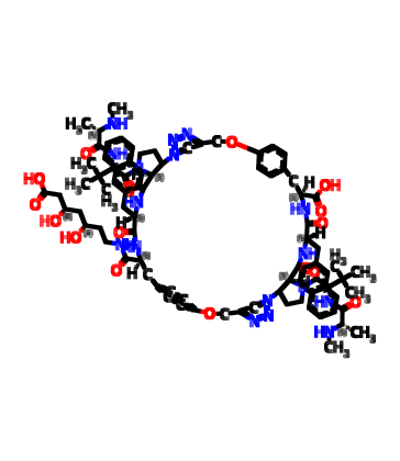 CN[C@@H](C)C(=O)N[C@H](C(=O)N1CCC2[C@H]1C(=O)N[C@@H](Cc1ccc3ccccc3c1)C(=O)N[C@H](C(=O)O)Cc1ccc(cc1)OCc1cn(nn1)C1CCN(C(=O)[C@@H](NC(=O)[C@H](C)NC)C(C)(C)C)[C@@H]1C(=O)N[C@@H](Cc1ccc3ccccc3c1)C(=O)N[C@H](C(=O)NCC[C@@H](O)C[C@@H](O)CC(=O)O)Cc1ccc(cc1)OCc1cn2nn1)C(C)(C)C